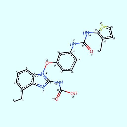 CCc1cccc2c1nc(NC(=O)O)n2Oc1cccc(NC(=O)Nc2sccc2C)c1